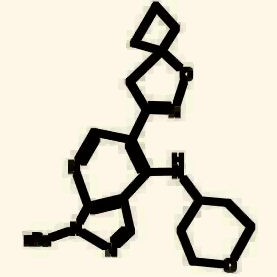 CCCCn1ncc2c(NC3CCOCC3)c(C3=NOC4(CCC4)C3)cnc21